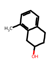 Cc1cccc2c1CC(O)CC2